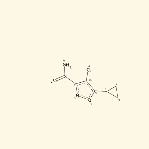 NC(=O)c1noc(C2CC2)c1Cl